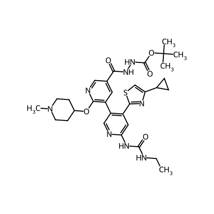 CCNC(=O)Nc1cc(-c2nc(C3CC3)cs2)c(-c2cc(C(=O)NNC(=O)OC(C)(C)C)cnc2OC2CCN(C)CC2)cn1